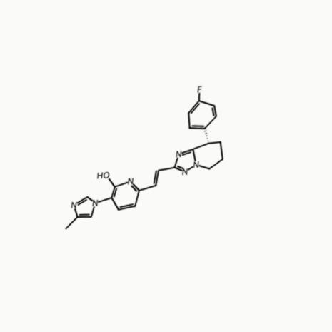 Cc1cn(-c2ccc(/C=C/c3nc4n(n3)CCC[C@H]4c3ccc(F)cc3)nc2O)cn1